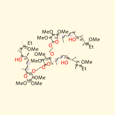 CC[C@H](OC)[C@@H](C)[C@H]1CC1[C@H](O)[C@@H](C)/C=C/C=C(\C)[C@@H]1O[C@H](OC)[C@@H](OC)[C@@H](OC)[C@@H]1OCCO[C@@H]1O[C@@H](/C(C)=C/C=C/[C@H](C)[C@@H](O)C2C[C@@H]2[C@H](C)[C@H](CC)OC)[C@@H](OCCO[C@H]2O[C@@H](/C(C)=C/C=C/[C@H](C)[C@@H](O)C3C[C@@H]3[C@H](C)[C@H](CC)OC)[C@@H](OC)[C@H](OC)[C@H]2OC)[C@H](OC)[C@H]1OC